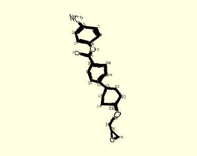 N#Cc1ccc(OC(=O)c2ccc(C3CCC(OCC4CO4)CC3)cc2)cc1